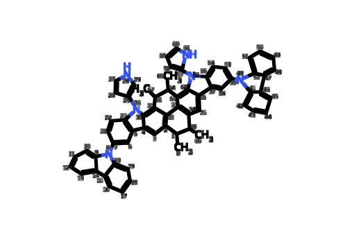 CC1c2cc3c4cc(-n5c6ccccc6c6ccccc65)ccc4n(-c4cc[nH]c4)c3c3c2-c2c(cc4c5cc(-n6c7ccccc7c7ccccc76)ccc5n(-c5ccc[nH]5)c4c2C(C)C3C)C1C